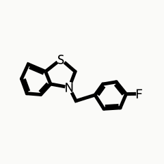 Fc1ccc(CN2CSc3ccccc32)cc1